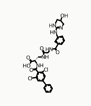 O=C(CNC(=O)c1cccc(NC2=NCC(O)CN2)c1)NC[C@H](NC(=O)c1c(Cl)cc(-c2ccccc2)cc1Cl)C(=O)O